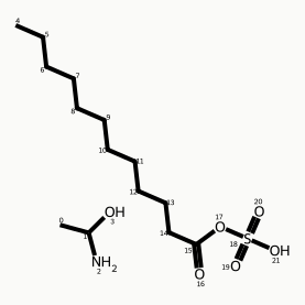 CC(N)O.CCCCCCCCCCCC(=O)OS(=O)(=O)O